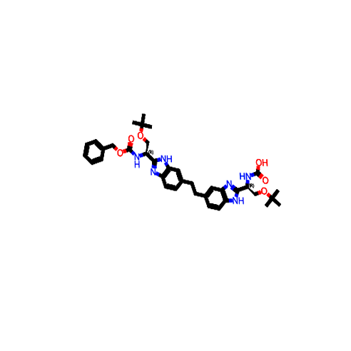 CC(C)(C)OC[C@H](NC(=O)O)c1nc2cc(CCc3ccc4nc([C@H](COC(C)(C)C)NC(=O)OCc5ccccc5)[nH]c4c3)ccc2[nH]1